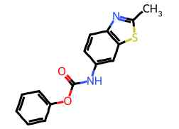 Cc1nc2ccc(NC(=O)Oc3ccccc3)cc2s1